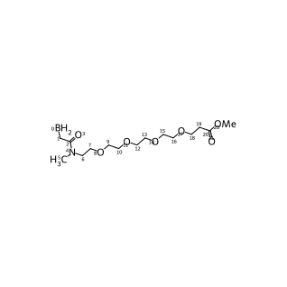 BCC(=O)N(C)CCOCCOCCOCCOCCC(=O)OC